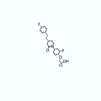 O=c1cc(CCc2ccc(F)cc2)ccn1-c1ccc(OCC2(O)CC2)c(F)c1